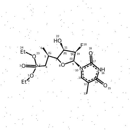 CCOP(=O)(C[C@@H](C)C1O[C@H](n2cc(C)c(=O)[nH]c2=O)[C@H](F)[C@@H]1O)OCC